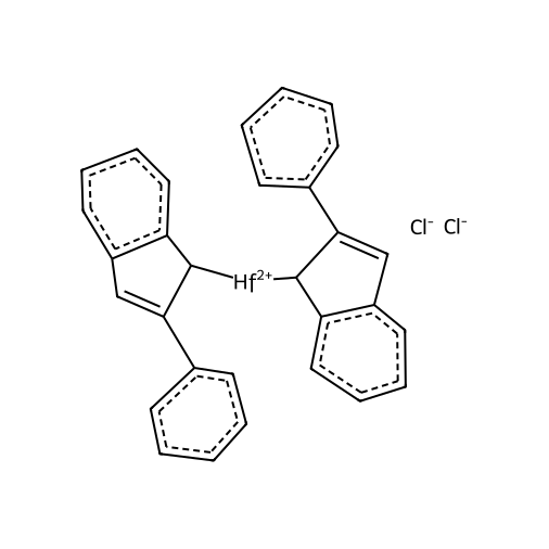 C1=C(c2ccccc2)[CH]([Hf+2][CH]2C(c3ccccc3)=Cc3ccccc32)c2ccccc21.[Cl-].[Cl-]